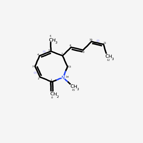 C=C1/C=C\C=C(\C)C(C=C/C=C\C)CN1C